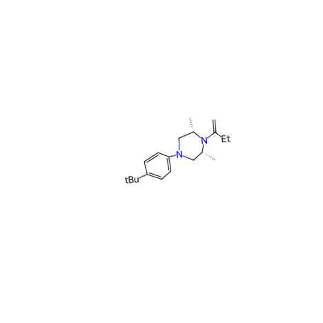 C=C(CC)N1[C@H](C)CN(c2ccc(C(C)(C)C)cc2)C[C@@H]1C